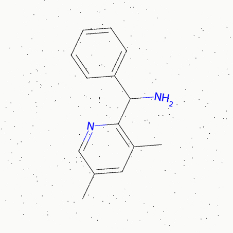 Cc1cnc(C(N)c2ccccc2)c(C)c1